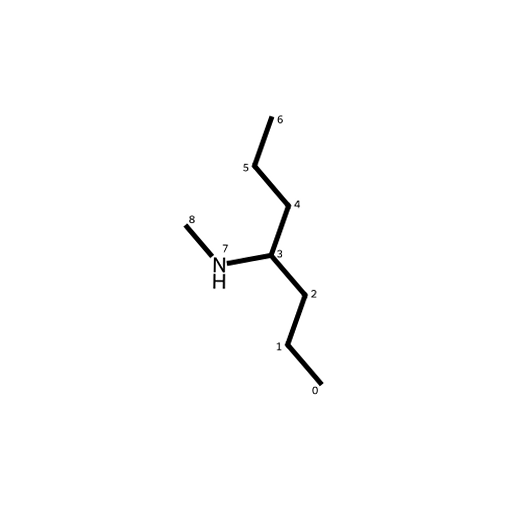 CCCC(CCC)NC